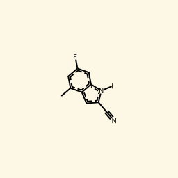 Cc1cc(F)cc2c1cc(C#N)n2I